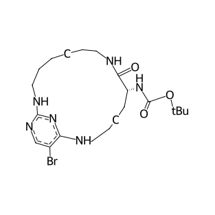 CC(C)(C)OC(=O)N[C@@H]1CCCCNc2nc(ncc2Br)NCCCCCCNC1=O